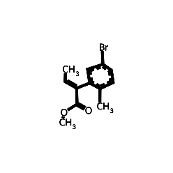 C/C=C(/C(=O)OC)c1cc(Br)ccc1C